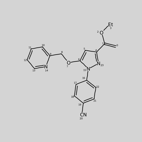 C=C(OCC)c1cc(OCc2ccccn2)n(-c2ccc(C#N)cc2)n1